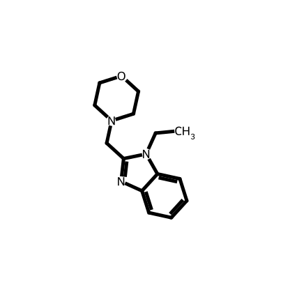 CCn1c(CN2CCOCC2)nc2ccccc21